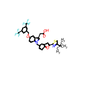 CC(C)(C)c1csc(-c2cc3cc(Cn4cc(CC(=O)O)c5cc(OCc6cc(C(F)(F)F)cc(C(F)(F)F)c6)ccc54)ccc3o2)n1